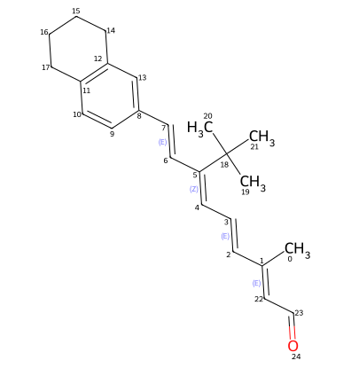 CC(/C=C/C=C(/C=C/c1ccc2c(c1)CCCC2)C(C)(C)C)=C\C=O